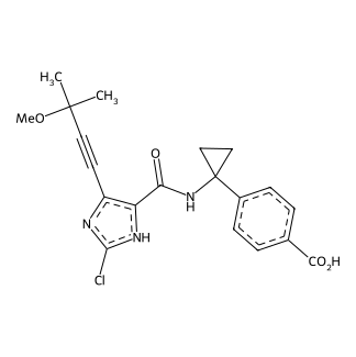 COC(C)(C)C#Cc1nc(Cl)[nH]c1C(=O)NC1(c2ccc(C(=O)O)cc2)CC1